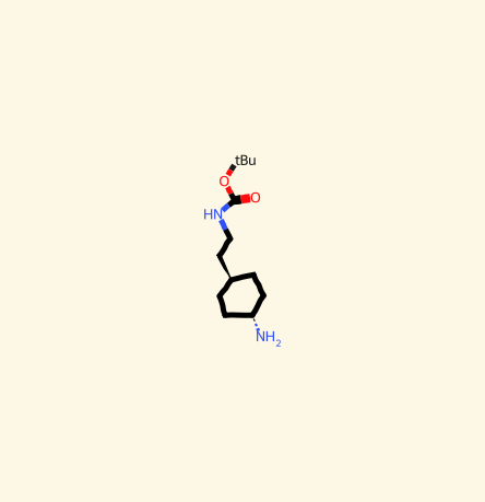 CC(C)(C)OC(=O)NCC[C@H]1CC[C@H](N)CC1